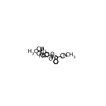 CN1CC=C(c2cn(S(=O)(=O)c3ccc4c(cnn4C(=O)C(C)(C)C)c3)c3ccccc23)CC1